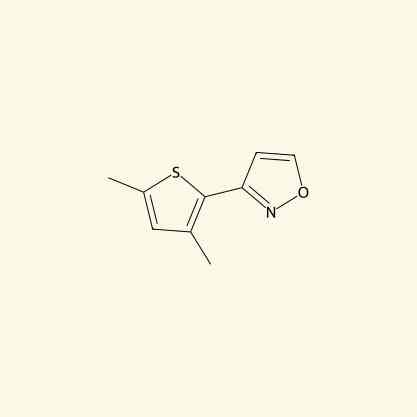 Cc1cc(C)c(-c2ccon2)s1